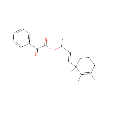 CC1=C(C)C(C)(C=CC(C)OC(=O)C(=O)c2ccccc2)CCC1